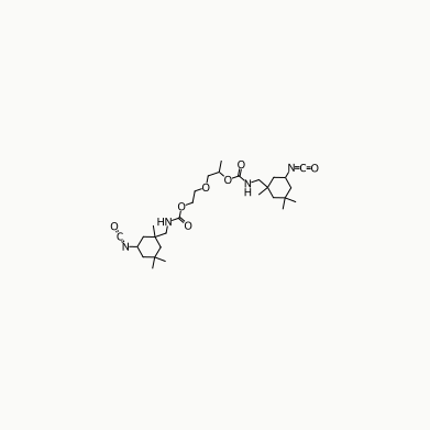 CC(COCCOC(=O)NCC1(C)CC(N=C=O)CC(C)(C)C1)OC(=O)NCC1(C)CC(N=C=O)CC(C)(C)C1